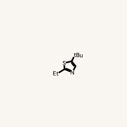 CCc1ncc(C(C)(C)C)s1